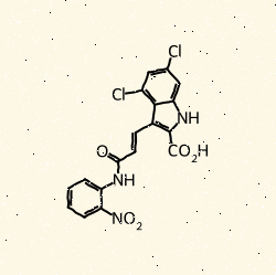 O=C(C=Cc1c(C(=O)O)[nH]c2cc(Cl)cc(Cl)c12)Nc1ccccc1[N+](=O)[O-]